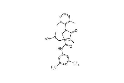 CCCN(C)C[C@@]1(C(=O)Nc2cc(C(F)(F)F)cc(C(F)(F)F)c2)CN(c2c(C)cccc2C)C(=O)[C@H]1C